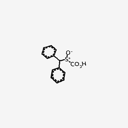 O=C(O)[S@+]([O-])C(c1ccccc1)c1ccccc1